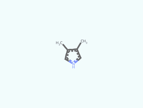 Cc1[c][nH]cc1C